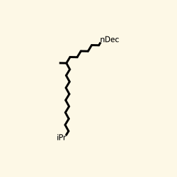 CCCCCCCCCCCCCCCCC(C)CCCCCCCCCCCC(C)C